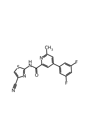 Cc1cc(-c2cc(F)cc(F)c2)cc(C(=O)Nc2nc(C#N)cs2)n1